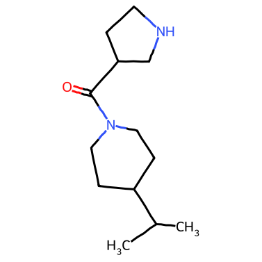 CC(C)C1CCN(C(=O)C2CCNC2)CC1